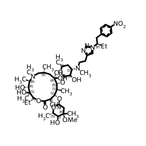 CC[C@H](Cc1ccc([N+](=O)[O-])cc1)n1cc(CCN(C)[C@H]2C[C@@H](C)O[C@@H](O[C@@H]3[C@@H](C)[C@H](O[C@H]4C[C@@](C)(OC)[C@@H](O)[C@H](C)O4)[C@@H](C)C(=O)O[C@H](CC)[C@@](C)(O)[C@H](O)[C@@H](C)N(C)C[C@H](C)C[C@@]3(C)O)[C@@H]2O)nn1